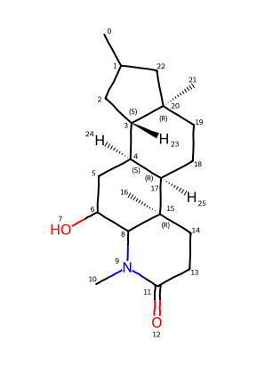 CC1C[C@H]2[C@@H]3CC(O)C4N(C)C(=O)CC[C@]4(C)[C@@H]3CC[C@]2(C)C1